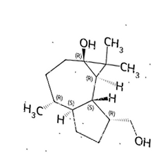 C[C@@H]1CC[C@@]2(O)[C@H]([C@@H]3[C@H](CO)CC[C@H]31)C2(C)C